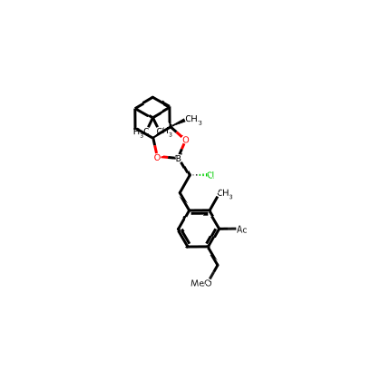 COCc1ccc(C[C@@H](Cl)B2OC3CC4CC(C4(C)C)[C@]3(C)O2)c(C)c1C(C)=O